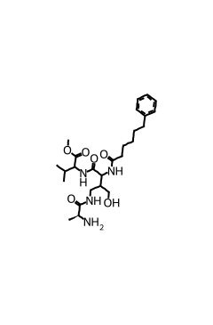 COC(=O)C(NC(=O)C(NC(=O)CCCCCc1ccccc1)C(CO)CNC(=O)[C@H](C)N)C(C)C